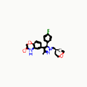 Cc1nn(CC2CCOCC2)c(-c2ccc(F)cc2)c1-c1ccc2c(c1)NC(=O)CO2